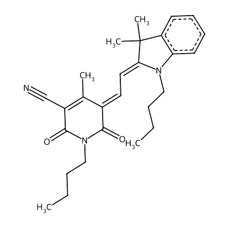 CCCCN1C(=O)C(C#N)=C(C)/C(=C\C=C2/N(CCCC)c3ccccc3C2(C)C)C1=O